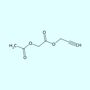 C#CCOC(=O)COC([CH2])=O